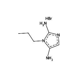 Br.CCCn1c(N)cnc1N